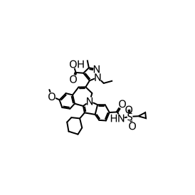 CCn1nc(C)c(C(=O)O)c1C1=Cc2cc(OC)ccc2-c2c(C3CCCCC3)c3ccc(C(=O)NS(=O)(=O)C4CC4)cc3n2C1